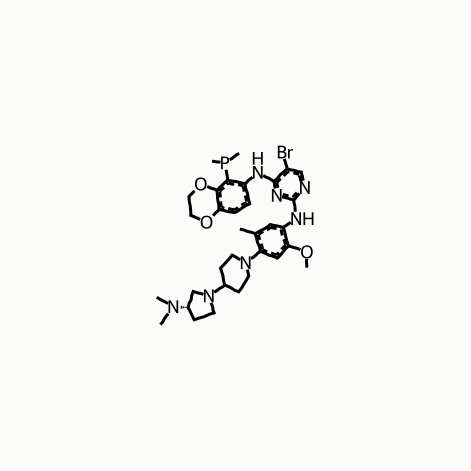 COc1cc(N2CCC(N3CC[C@H](N(C)C)C3)CC2)c(C)cc1Nc1ncc(Br)c(Nc2ccc3c(c2P(C)C)OCCO3)n1